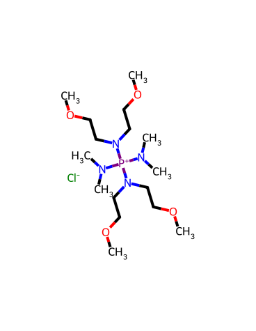 COCCN(CCOC)[P+](N(C)C)(N(C)C)N(CCOC)CCOC.[Cl-]